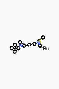 CC(C)(C)c1ccc(N(c2ccc(-c3ccc(-c4ccc5c(c4)c4ccccc4n5-c4ccc5c(c4)C(c4ccccc4)(c4ccccc4)c4ccccc4-5)cc3)cc2)c2ccc(-c3ccccc3)s2)cc1